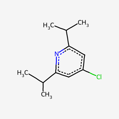 CC(C)c1cc(Cl)cc(C(C)C)n1